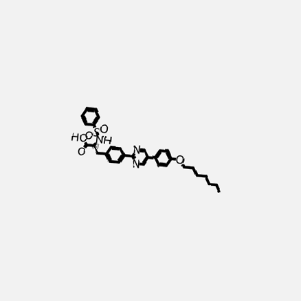 CCCCCCCOc1ccc(-c2cnc(-c3ccc(C[C@H](NS(=O)(=O)c4ccccc4)C(=O)O)cc3)nc2)cc1